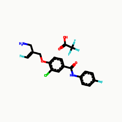 NCC(=CF)COc1ccc(C(=O)Nc2ccc(F)cc2)cc1Cl.O=C(O)C(F)(F)F